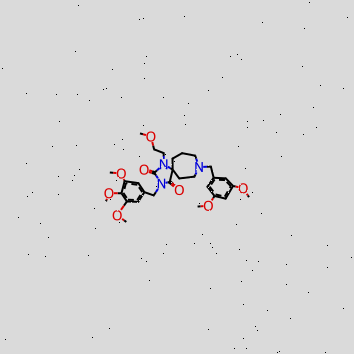 COCCN1C(=O)N(Cc2cc(OC)c(OC)c(OC)c2)C(=O)C12CCCN(Cc1cc(OC)cc(OC)c1)CC2